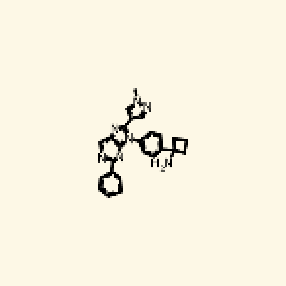 Cn1cc(-c2nc3cnc(-c4ccccc4)nc3n2-c2ccc(C3(N)CCC3)cc2)cn1